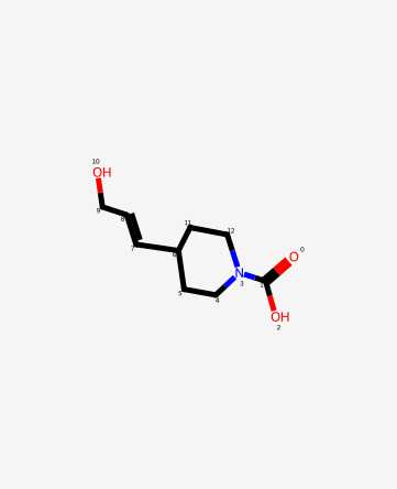 O=C(O)N1CCC(C=CCO)CC1